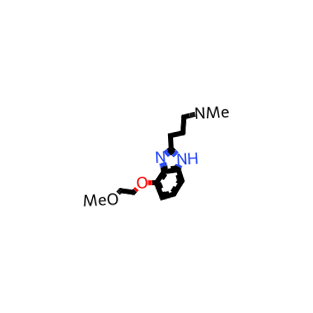 CNCCCc1nc2c(OCCOC)cccc2[nH]1